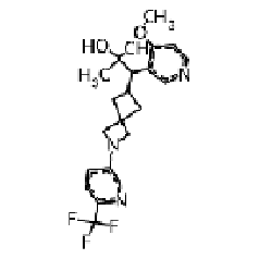 COc1ccncc1C(C1CC2(C1)CN(c1ccc(C(F)(F)F)nc1)C2)C(C)(C)O